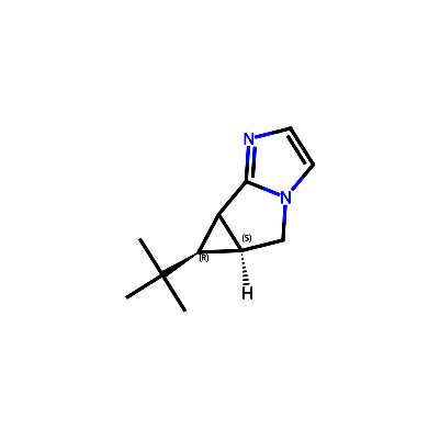 CC(C)(C)[C@H]1C2c3nccn3C[C@H]21